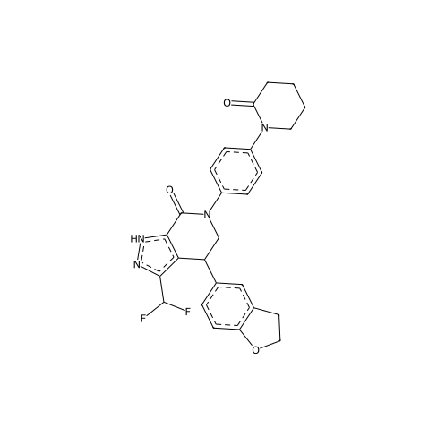 O=C1CCCCN1c1ccc(N2CC(c3ccc4c(c3)CCO4)c3c(C(F)F)n[nH]c3C2=O)cc1